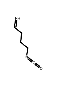 N=CCCCN=C=O